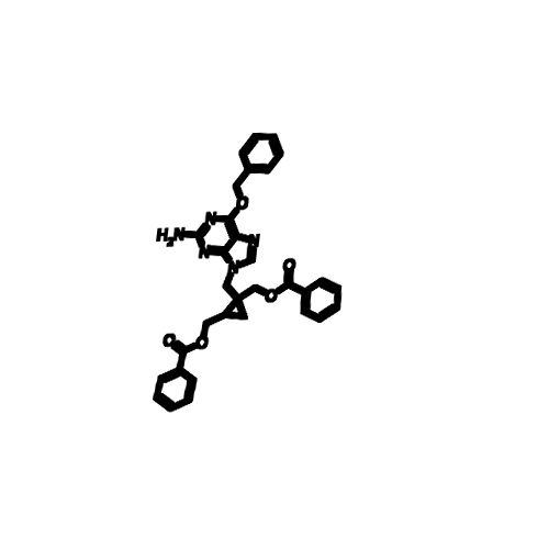 Nc1nc(OCc2ccccc2)c2ncn(CC3(COC(=O)c4ccccc4)CC3COC(=O)c3ccccc3)c2n1